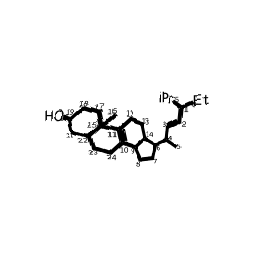 CCC(C=CC(C)C1CCC2C3=C(CCC21)C1(C)CCC(O)CC1CC3)C(C)C